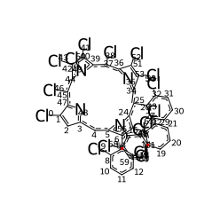 ClC1=Cc2cc3c(-c4c(Cl)cccc4Cl)c(-c4c(Cl)cccc4Cl)c(c(-c4c(Cl)cccc4Cl)c4nc(c(Cl)c5c(Cl)c(Cl)c(c(Cl)c1n2)n5Cl)C(Cl)=C4Cl)n3-c1c(Cl)cccc1Cl